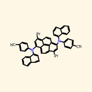 CC(C)c1cc(N(c2ccc(C#N)cc2)c2cccc3ccccc23)c2ccc3c(C(C)C)cc(N(c4ccc(C#N)cc4)c4cccc5ccccc45)c4ccc1c2c34